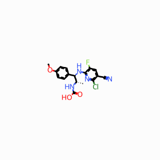 COc1ccc([C@@H](Nc2nc(Cl)c(C#N)cc2F)[C@H](C)NC(=O)O)cc1